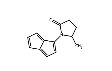 CC1CCC(=O)N1C1=CC=C2C=CC=C21